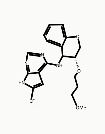 COCCCO[C@H]1COc2ccccc2C1Nc1ncnc2[nH]c(C(F)(F)F)cc12